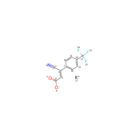 N#C/C(=C\C(=O)[O-])c1ccc(C(F)(F)F)cc1.[K+]